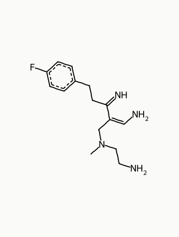 CN(CCN)C/C(=C/N)C(=N)CCc1ccc(F)cc1